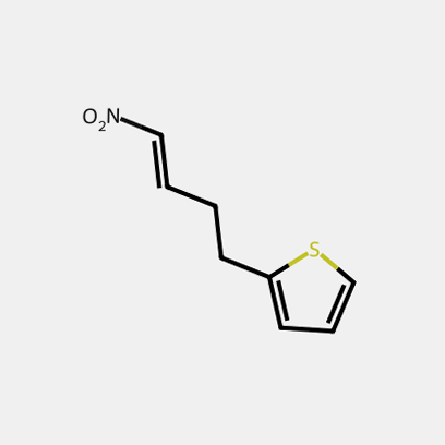 O=[N+]([O-])C=CCCc1cccs1